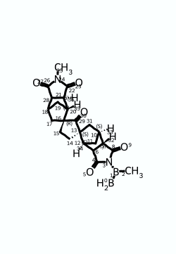 BB(C)N1C(=O)C2[C@@H](C1=O)[C@H]1C[C@@H]2[C@]2(CC[C@]3(CC4C[C@@H]3[C@@H]3C(=O)N(C)C(=O)C43)C2=O)C1